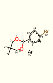 CC1(C)COC(c2ccc(Br)cc2)OC1.[Ar]